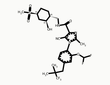 Cc1nc(C(=O)NC[C@H]2CC[C@H](S(C)(=O)=O)C[C@@H]2O)c(C#N)n1-c1ccc(CC(C)(C)C(F)(F)F)cc1OC(F)F